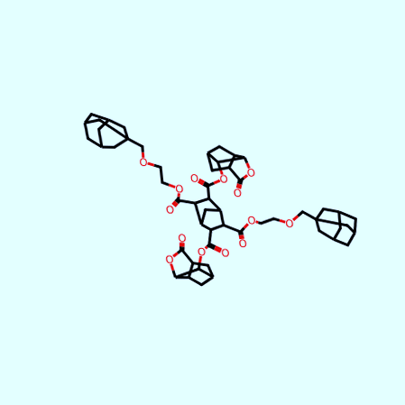 O=C1OC2C3CC(CC13)C2OC(=O)C1C2CC(C1C(=O)OCCOCC13CC4CC(CC(C4)C1)C3)C(C(=O)OC1C3CC4C(=O)OC1C4C3)C2C(=O)OCCOCC12CC3CC(CC(C3)C1)C2